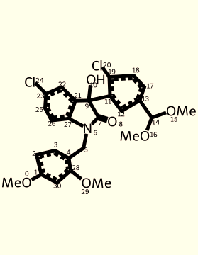 COc1ccc(CN2C(=O)C(O)(c3cc(C(OC)OC)ccc3Cl)c3cc(Cl)ccc32)c(OC)c1